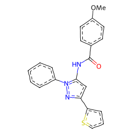 COc1ccc(C(=O)Nc2cc(-c3cccs3)nn2-c2ccccc2)cc1